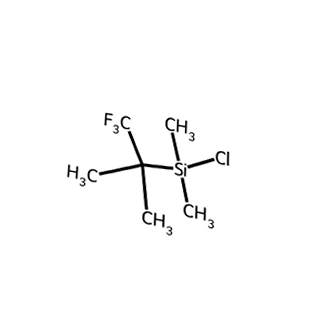 CC(C)(C(F)(F)F)[Si](C)(C)Cl